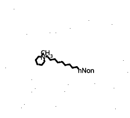 CCCCCCCCCCCCCCCCCC[N+]1(C)CCCCC1